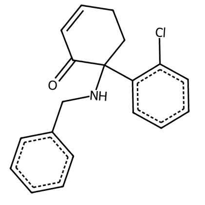 O=C1C=CCCC1(NCc1ccccc1)c1ccccc1Cl